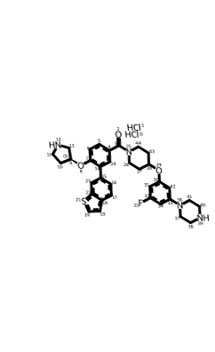 Cl.Cl.O=C(c1ccc(O[C@H]2CCNC2)c(-c2ccc3ccsc3c2)c1)N1CCC(Oc2cc(F)cc(N3CCNCC3)c2)CC1